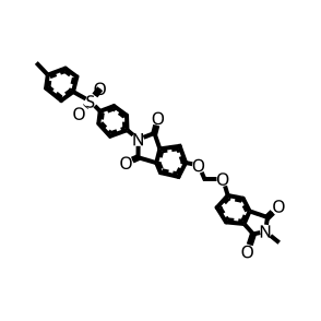 Cc1ccc(S(=O)(=O)c2ccc(N3C(=O)c4ccc(OCOc5ccc6c(c5)C(=O)N(C)C6=O)cc4C3=O)cc2)cc1